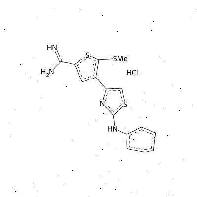 CSc1sc(C(=N)N)cc1-c1csc(Nc2ccccc2)n1.Cl